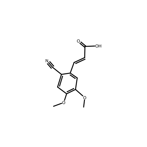 COc1cc(C#N)c(C=CC(=O)O)cc1OC